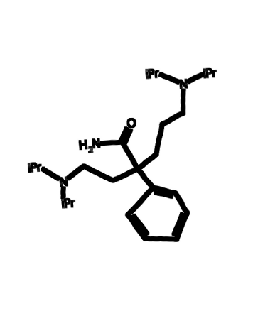 CC(C)N(CCCC(CCN(C(C)C)C(C)C)(C(N)=O)c1ccccc1)C(C)C